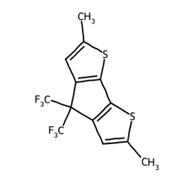 Cc1cc2c(s1)-c1sc(C)cc1C2(C(F)(F)F)C(F)(F)F